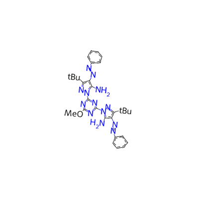 COc1nc(-n2nc(C(C)(C)C)c(/N=N/c3ccccc3)c2N)nc(-n2nc(C(C)(C)C)c(/N=N/c3ccccc3)c2N)n1